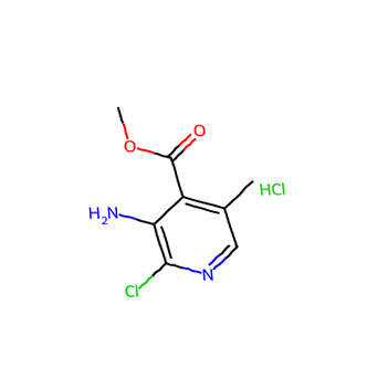 COC(=O)c1c(C)cnc(Cl)c1N.Cl